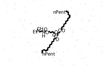 CCCCC/C=C\C/C=C\CCCCCCCC(=O)OCC(COC(=O)CCCCCCC/C=C\C/C=C\CCCCC)OC(=O)CCCOC(=O)NCCN(C)CC